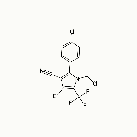 N#Cc1c(Cl)c(C(F)(F)F)n(CCl)c1-c1ccc(Cl)cc1